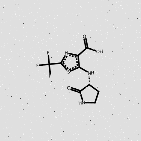 O=C(O)c1nc(C(F)(F)F)sc1N[C@@H]1CCNC1=O